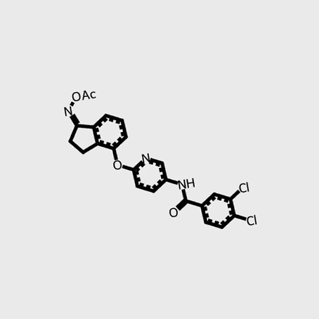 CC(=O)O/N=C1/CCc2c(Oc3ccc(NC(=O)c4ccc(Cl)c(Cl)c4)cn3)cccc21